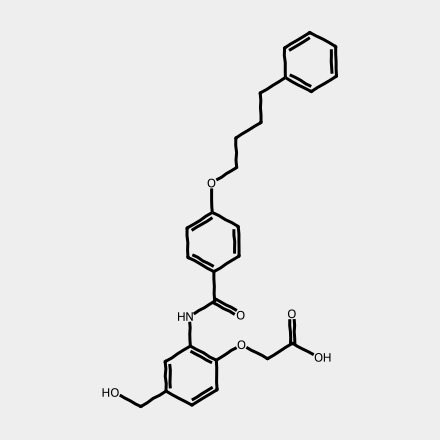 O=C(O)COc1ccc(CO)cc1NC(=O)c1ccc(OCCCCc2ccccc2)cc1